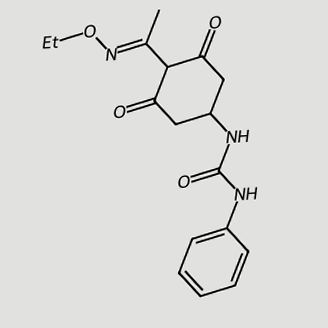 CCON=C(C)C1C(=O)CC(NC(=O)Nc2ccccc2)CC1=O